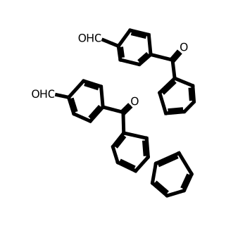 O=Cc1ccc(C(=O)c2ccccc2)cc1.O=Cc1ccc(C(=O)c2ccccc2)cc1.c1ccccc1